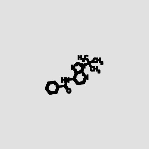 CC(C)(C)n1cnc2c(NC(=O)c3ccccc3)ccnc21